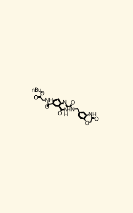 CCCCOC(=O)CNC(=O)c1ccc2nc(C(=O)NCc3ccc4c(c3)NC(=O)CO4)[nH]c(=O)c2c1